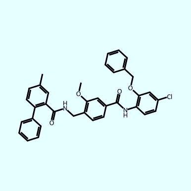 COc1cc(C(=O)Nc2ccc(Cl)cc2OCc2ccccc2)ccc1CNC(=O)c1cc(C)ccc1-c1ccccc1